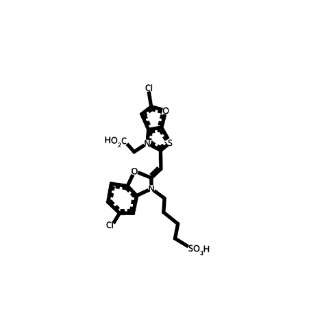 O=C(O)C[n+]1c(C=C2Oc3ccc(Cl)cc3N2CCCCS(=O)(=O)O)sc2oc(Cl)cc21